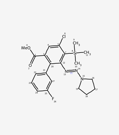 COC(=O)c1cc(Cl)c([Si](C)(C)C)c(/N=N/N2CCCC2)c1-c1cccc(F)c1